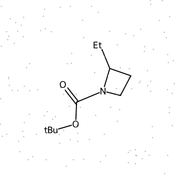 [CH2]CC1CCN1C(=O)OC(C)(C)C